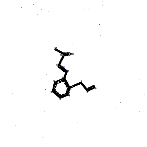 C=CCc1ccccc1/C=C/C(C)=O